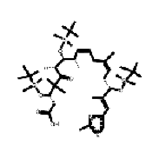 C/C(=C/C[C@H](O[Si](C)(C)C(C)(C)C)/C(C)=C/c1csc(C)n1)C/C=C\[C@H](C)[C@H](O[Si](C)(C)C(C)(C)C)[C@@H](C)C(=O)C(C)(C)[C@H](CC(=O)O)O[Si](C)(C)C(C)(C)C